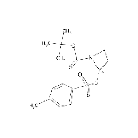 Cc1ccc(S(=O)(=O)O[C@H]2CCN2C(=O)OC(C)(C)C)cc1